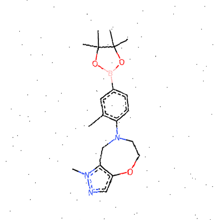 Cc1cc(B2OC(C)(C)C(C)(C)O2)ccc1N1CCOc2cnn(C)c2C1